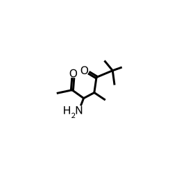 CC(=O)C(N)C(C)C(=O)C(C)(C)C